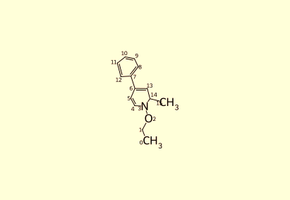 CCON1C=CC(c2ccccc2)=CC1C